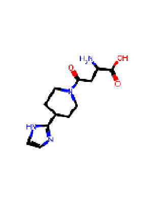 NC(CC(=O)N1CCC(c2ncc[nH]2)CC1)C(=O)O